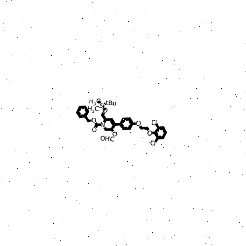 CC(C)(C)[Si](C)(C)OCC1C=C(c2ccc(OCCOc3c(Cl)cccc3Cl)cc2)C(OC=O)CN1C(=O)OCc1ccccc1